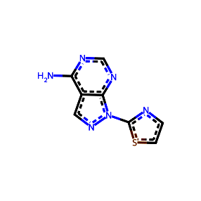 Nc1ncnc2c1cnn2-c1nccs1